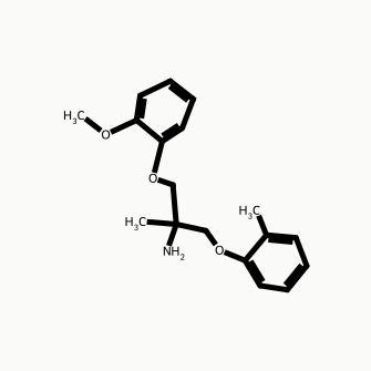 COc1ccccc1OCC(C)(N)COc1ccccc1C